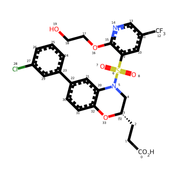 O=C(O)CC[C@H]1CN(S(=O)(=O)c2cc(C(F)(F)F)cnc2OCCO)c2cc(-c3cccc(Cl)c3)ccc2O1